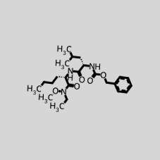 CCCC[C@H](NC(=O)[C@H](CC(C)C)NC(=O)OCc1ccccc1)C(=O)N(CC)OC